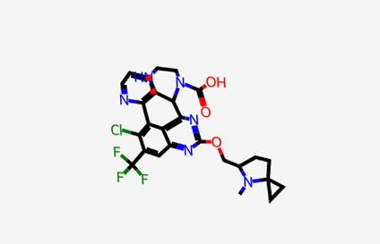 CN1C(COc2nc(C3CNCCN3C(=O)O)c3c(-c4ccccn4)c(Cl)c(C(F)(F)F)cc3n2)CCC12CC2